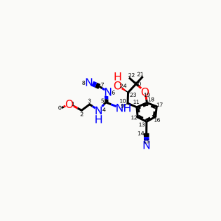 COCCNC(=NC#N)N[C@H]1c2cc(C#N)ccc2OC(C)(C)[C@@H]1O